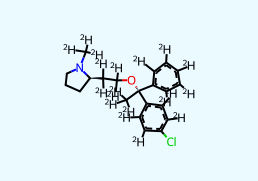 [2H]c1c([2H])c([2H])c([C@@](OC([2H])([2H])C([2H])([2H])[C@H]2CCCN2C([2H])([2H])[2H])(c2c([2H])c([2H])c(Cl)c([2H])c2[2H])C([2H])([2H])[2H])c([2H])c1[2H]